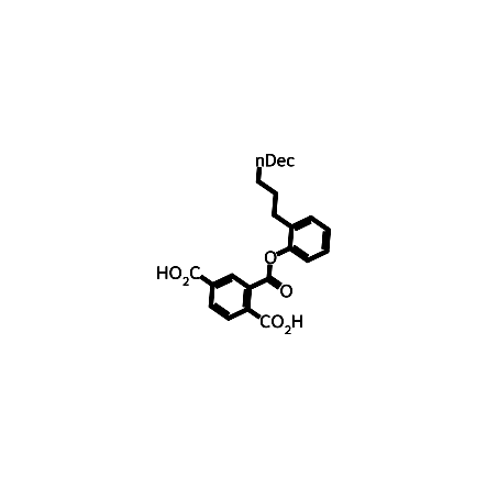 CCCCCCCCCCCCCc1ccccc1OC(=O)c1cc(C(=O)O)ccc1C(=O)O